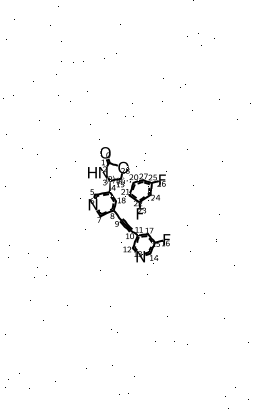 O=C1N[C@H](c2cncc(C#Cc3cncc(F)c3)c2)[C@@H](c2cc(F)cc(F)c2)O1